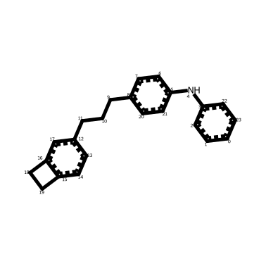 c1ccc(Nc2ccc(CCCc3ccc4c(c3)CC4)cc2)cc1